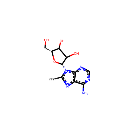 CCCc1nc2c(N)ncnc2n1[C@@H]1O[C@H](CO)C(O)C1O